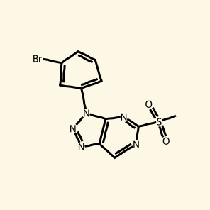 CS(=O)(=O)c1ncc2nnn(-c3cccc(Br)c3)c2n1